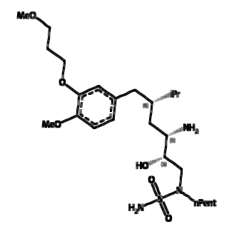 CCCCCN(C[C@H](O)[C@@H](N)C[C@H](Cc1ccc(OC)c(OCCCOC)c1)C(C)C)S(N)(=O)=O